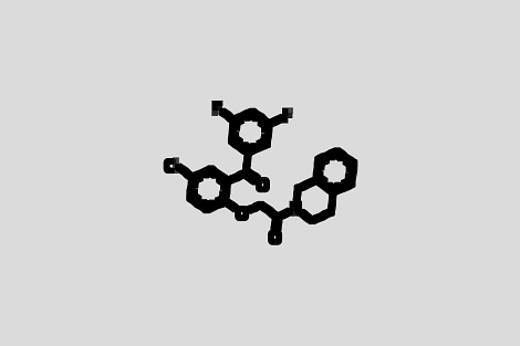 O=C(c1cc(F)cc(F)c1)c1cc(Cl)ccc1OCC(=O)N1CCc2ccccc2C1